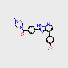 COc1ccc(-c2ccnc3[nH]c(-c4ccc(C(=O)N5CCN(C)CC5)cc4)nc23)cc1